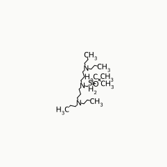 CCCN(CCC)CCCN(CCCN(CCC)CCC)C[SiH2]OC(C)(C)C